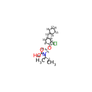 CCC(C)N(CCOc1ccc(Cc2ccccc2)cc1Cl)C(=O)O